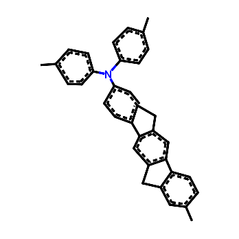 Cc1ccc(N(c2ccc(C)cc2)c2ccc3c(c2)Cc2cc4c(cc2-3)Cc2cc(C)ccc2-4)cc1